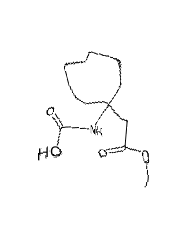 COC(=O)CC1(NC(=O)O)CCCCC1